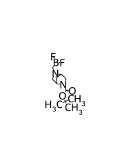 CC(C)(C)OC(=O)N1CC2CC1CN2CB(F)F